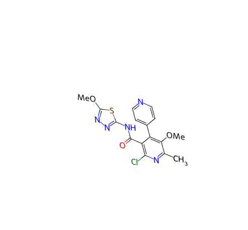 COc1nnc(NC(=O)c2c(Cl)nc(C)c(OC)c2-c2ccncc2)s1